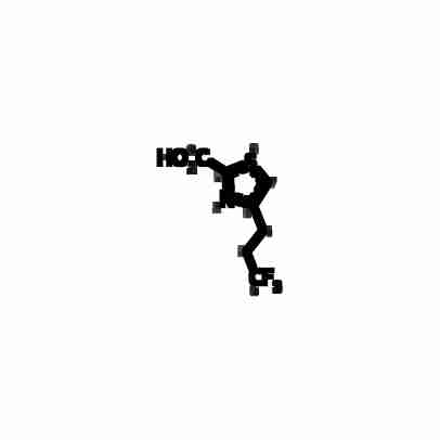 O=C(O)c1nc(CCC(F)(F)F)cs1